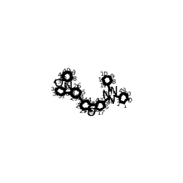 c1ccc(-c2nc(-c3ccccc3)nc(-c3ccc4oc5ccc(-c6ccc7c(c6)c6cccc8c6n7-c6ccccc6O8)cc5c4c3)n2)cc1